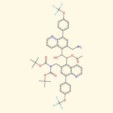 CC(=O)OC(c1c(CN(C(=O)OC(C)(C)C)C(=O)OC(C)(C)C)cc(-c2ccc(OC(F)(F)F)cc2)c2ncccc12)C(O)c1c(CN)cc(-c2ccc(OC(F)(F)F)cc2)c2ncccc12